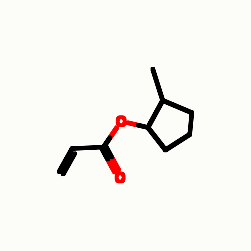 C=CC(=O)OC1CCCC1C